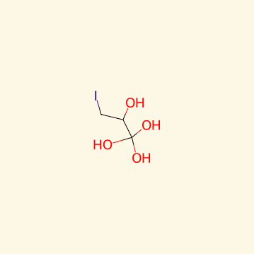 OC(CI)C(O)(O)O